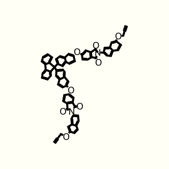 C#CCOc1ccc2ccc(N3C(=O)c4ccc(Oc5ccc6cc(C7(c8ccc9cc(Oc%10ccc%11c(c%10)C(=O)N(c%10ccc%12ccc(OCC#C)cc%12c%10)C%11=O)ccc9c8)c8ccccc8-c8ccccc87)ccc6c5)cc4C3=O)cc2c1